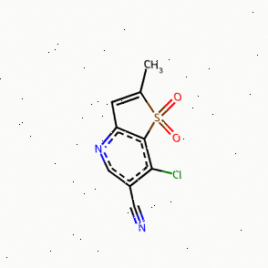 CC1=Cc2ncc(C#N)c(Cl)c2S1(=O)=O